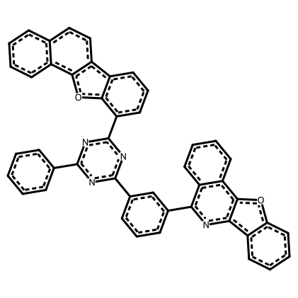 c1ccc(-c2nc(-c3cccc(-c4nc5c6ccccc6oc5c5ccccc45)c3)nc(-c3cccc4c3oc3c5ccccc5ccc43)n2)cc1